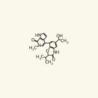 CC(O)c1cc2c(c(-c3cn(C)c(=O)c4[nH]ccc34)c1)OC(C(C)C)C(=O)N2